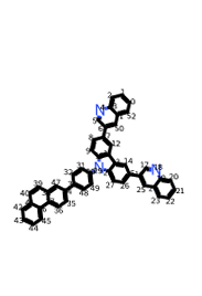 c1ccc2ncc(-c3ccc4c(c3)c3cc(-c5cnc6ccccc6c5)ccc3n4-c3ccc(-c4ccc5c(ccc6ccccc65)c4)cc3)cc2c1